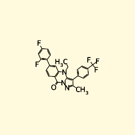 CCn1c2cc(-c3ccc(F)cc3F)ccc2c(=O)n2nc(C)c(-c3ccc(C(F)(F)F)cc3)c12